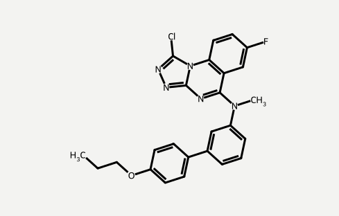 CCCOc1ccc(-c2cccc(N(C)c3nc4nnc(Cl)n4c4ccc(F)cc34)c2)cc1